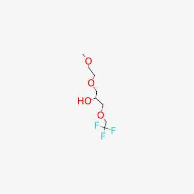 COCCOCC(O)COCC(F)(F)F